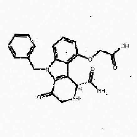 NC(=O)[C@@H]1[SH]CC(=O)c2c1c1c(OCC(=O)O)cccc1n2Cc1ccccc1